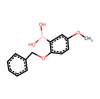 COc1ccc(OCc2ccccc2)c(B(O)O)c1